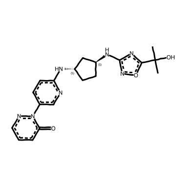 CC(C)(O)c1nc(N[C@H]2CC[C@H](Nc3ccc(-n4ncccc4=O)cn3)C2)no1